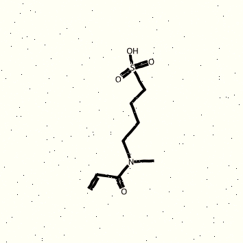 C=CC(=O)N(C)CCCCS(=O)(=O)O